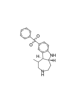 CC1CNCC[C@H]2Nc3ccc(S(=O)(=O)c4ccccc4)cc3[C@H]12